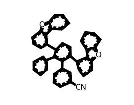 N#Cc1cccc(-c2c(-c3cccc4oc5ccccc5c34)ccc(-c3cccc4oc5ccccc5c34)c2-c2ccccc2)c1